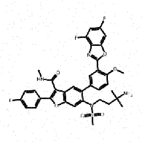 CNC(=O)c1c(-c2ccc(F)cc2)oc2cc(N(CCC(C)(C)N)S(C)(=O)=O)c(-c3ccc(OC)c(-c4nc5c(F)cc(F)cc5o4)c3)cc12